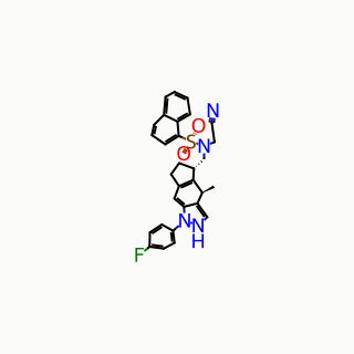 C[C@H]1C2=CNN(c3ccc(F)cc3)C2=CC2=C1[C@@H](CN(CC#N)S(=O)(=O)c1cccc3ccccc13)CC2